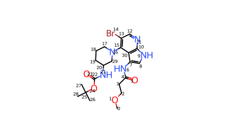 COCCC(=O)Nc1c[nH]c2ncc(Br)c(N3CCCC(NC(=O)OC(C)(C)C)C3)c12